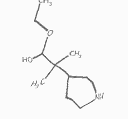 CCOC(O)C(C)(C)C1CCNC1